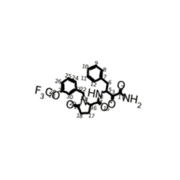 NC(=O)C(=O)C(Cc1ccccc1)NC(=O)C1CCC(=O)N1Cc1cccc(OC(F)(F)F)c1